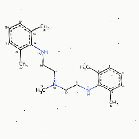 Cc1cccc(C)c1NCCN(C)CCNc1c(C)cccc1C